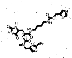 CC(C)c1nc(CN(C)C(=O)N[C@@H](CC2NC(=O)NC2=O)C(=O)NCCCCNC(=O)OCc2cncs2)cs1